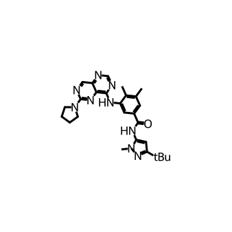 Cc1cc(C(=O)Nc2cc(C(C)(C)C)nn2C)cc(Nc2ncnc3cnc(N4CCCC4)nc23)c1C